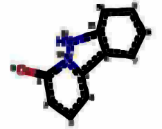 O=c1cccc2c3ccccc3[nH]n12